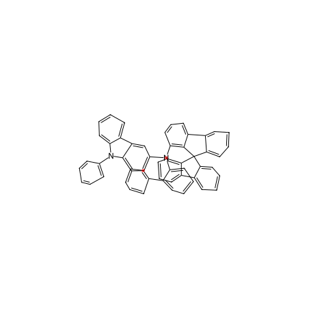 c1ccc(-c2ccccc2N(c2ccc3c(c2)c2ccccc2n3-c2ccccc2)c2cccc3c2C2(c4ccccc4-c4ccccc42)c2ccccc2-3)cc1